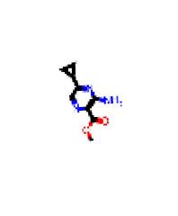 COC(=O)c1ncc(C2CC2)nc1N